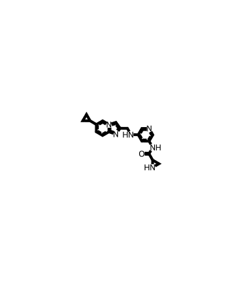 O=C(Nc1cncc(NCc2cn3cc(C4CC4)ccc3n2)c1)C1CN1